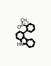 C[S+]([O-])c1ccccc1-c1cccc2[nH]c3ccccc3c12